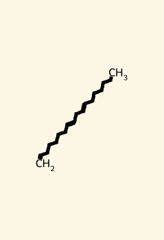 C=CCCCCCC=CCC=CCCCCCC